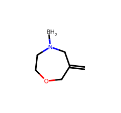 BN1CCOCC(=C)C1